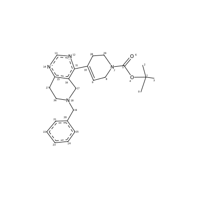 CC(C)(C)OC(=O)N1CC=C(c2ncnc3c2CN(Cc2ccccc2)CC3)CC1